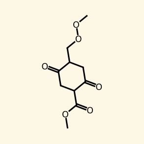 COOCC1CC(=O)C(C(=O)OC)CC1=O